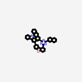 c1ccc(-n2c3ccccc3c3cc(-c4ccc5oc6cccc(-c7nc(-c8ccc9ccccc9c8)nc(-c8ccc9ccccc9c8)n7)c6c5c4)ccc32)cc1